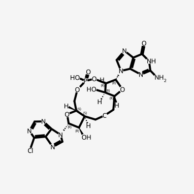 Nc1nc2c(ncn2[C@@H]2O[C@@H]3CCC[C@H]4[C@@H](O)[C@H](n5cnc6c(Cl)ncnc65)O[C@@H]4COP(=O)(O)O[C@@H]2[C@@H]3O)c(=O)[nH]1